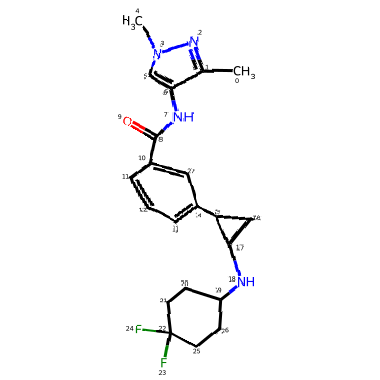 Cc1nn(C)cc1NC(=O)c1cccc(C2CC2NC2CCC(F)(F)CC2)c1